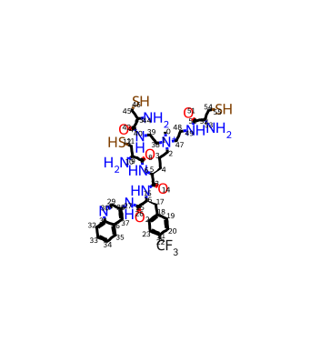 C[N+](CCC[C@H](NC(=O)C(N)CS)C(=O)N[C@@H](Cc1ccc(C(F)(F)F)cc1)C(=O)Nc1cnc2ccccc2c1)(CCNC(=O)C(N)CS)CCNC(=O)C(N)CS